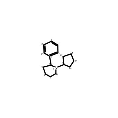 c1ccc(C2CCCCN2C2CCCC2)cc1